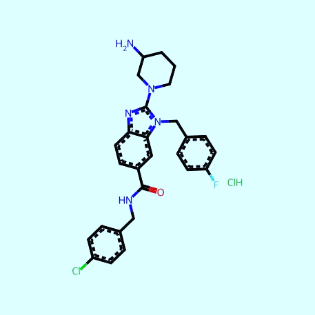 Cl.NC1CCCN(c2nc3ccc(C(=O)NCc4ccc(Cl)cc4)cc3n2Cc2ccc(F)cc2)C1